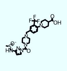 C[S+]([O-])Nc1ccn(C(=O)N2CCN(Cc3ccc(N4CCC(C(=O)O)CC4)c(C(F)(F)F)c3)CC2)n1